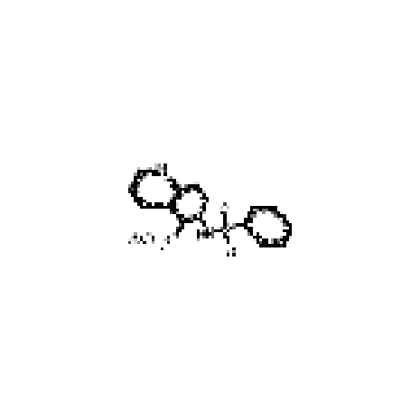 O=C(O)c1c(NS(=O)(=O)c2ccccc2)ccc2ncccc12